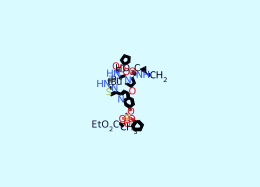 C=C[C@@H]1C[C@]1(NC(=O)[C@@H]1C[C@@H](Oc2cc(-c3csc(NC(C)C)n3)nc3cc(OCP(=O)(Oc4ccccc4)OC(C)C(=O)OCC)ccc23)CN1C(=O)C(NC(=O)OC1CCCC1)C(C)(C)C)C(=O)O